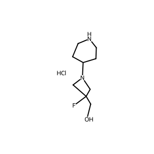 Cl.OCC1(F)CN(C2CCNCC2)C1